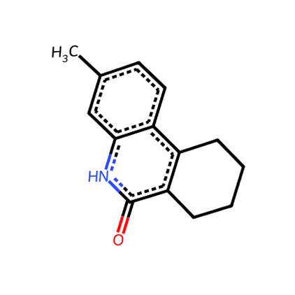 Cc1ccc2c3c(c(=O)[nH]c2c1)CCCC3